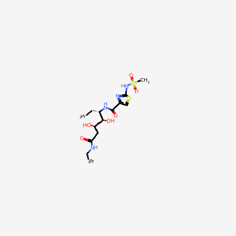 CC(C)CNC(=O)C[C@@H](O)[C@H](O)[C@H](CC(C)C)NC(=O)c1csc(NS(C)(=O)=O)n1